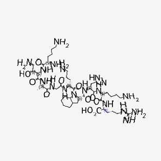 C[C@H](NC(=O)[C@@H](NC(=O)[C@@H](N)CCCCN)[C@@H](O)CN)C(=O)NCC(=O)N[C@H](CCCN)C(=O)N1C2CCCCC2C[C@H]1C(=O)N[C@@H](Cc1cnc[nH]1)C(=O)N[C@@H](CCCCN)C(=O)N/C(=C\CCNC(=N)N)C(=O)O